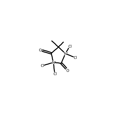 CC1(C)C(=O)[N+](Cl)(Cl)C(=O)[N+]1(Cl)Cl